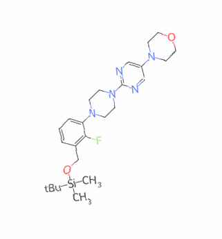 CC(C)(C)[Si](C)(C)OCc1cccc(N2CCN(c3ncc(N4CCOCC4)cn3)CC2)c1F